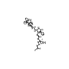 CC(C)CCC[C@](C)(O)C/C=C/[C@@H]1C(=O)CC[C@@H]1CCSc1nc(C(=O)O)cs1